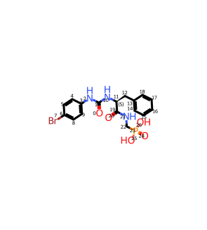 O=C(Nc1ccc(Br)cc1)N[C@@H](Cc1ccccc1)C(=O)NCP(=O)(O)O